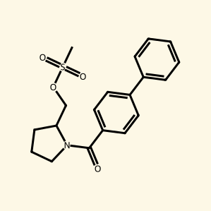 CS(=O)(=O)OCC1CCCN1C(=O)c1ccc(-c2ccccc2)cc1